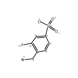 O=S(=O)(Cl)c1ccc(CBr)c(F)c1